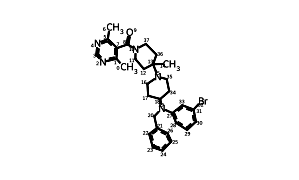 Cc1ncnc(C)c1C(=O)N1CCC(C)(N2CCC(N(Cc3ccccc3)c3cccc(Br)c3)CC2)CC1